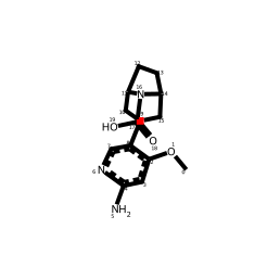 COc1cc(N)ncc1N1CC2CCC(C1)N2C(=O)O